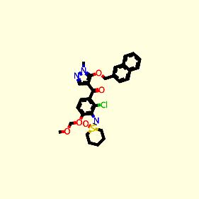 COCOc1ccc(C(=O)c2cnn(C)c2OCc2ccc3ccccc3c2)c(Cl)c1N=S1(=O)CCCCC1